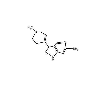 CN1CC=C(C2CNc3cc(N)ccc32)CC1